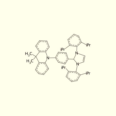 CC(C)c1cccc(C(C)C)c1N1C=CN(c2c(C(C)C)cccc2C(C)C)C1c1ccc(N2c3ccccc3C(C)(C)c3ccccc32)cc1